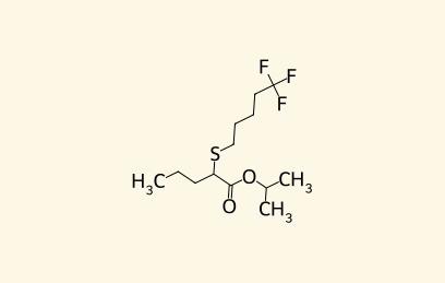 CCCC(SCCCCC(F)(F)F)C(=O)OC(C)C